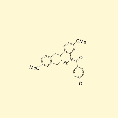 CCN(C(=O)c1ccc([O])cc1)c1cc(OC)ccc1C1CCc2cc(OC)ccc2C1